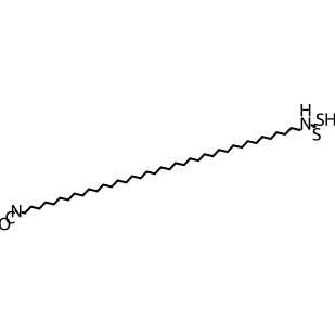 O=C=NCCCCCCCCCCCCCCCCCCCCCCCCCCCCCCCCCCCCCCCNC(=S)S